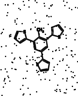 Cc1c(-c2cccs2)cc(-c2cccs2)cc1-c1cccs1